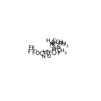 CC1(C)C(N)=N[C@](C)(c2cc(NC(=O)c3ccc(OCC(F)(F)C(F)F)cn3)ccc2F)[C@@H]2CCN=[S@@]21=O